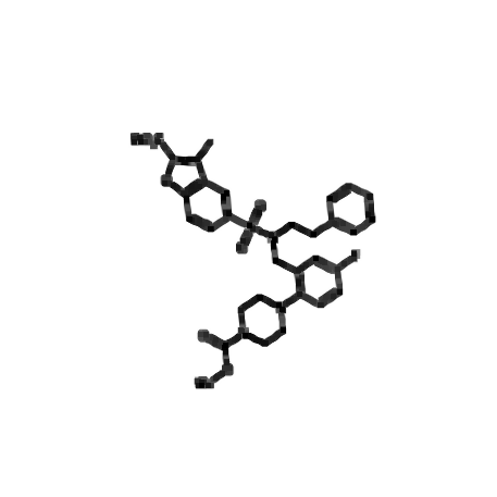 CCOC(=O)c1oc2ccc(S(=O)(=O)N(CCc3ccccc3)Cc3cc(F)ccc3N3CCN(C(=O)OC(C)(C)C)CC3)cc2c1C